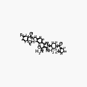 COc1ccc(F)cc1C(=O)NCc1ccc(-c2nn(C3CCN(C(=O)[C@H]4CCCN4C)CC3)c(N)c2C(N)=O)cc1